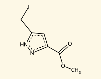 COC(=O)c1cc(CI)[nH]n1